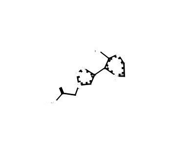 CNC(=O)Cn1cc(-c2nccnc2C(C)C)nn1